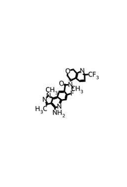 Cc1nn(C)c2c1c(N)nc1cc(F)c(C(=O)N(C)[C@@H]3COCc4nc(C(F)(F)F)ccc43)cc12